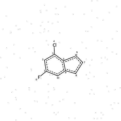 Fc1cc(Cl)c2sccc2c1